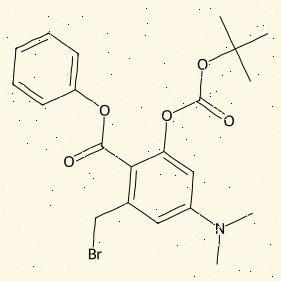 CN(C)c1cc(CBr)c(C(=O)Oc2ccccc2)c(OC(=O)OC(C)(C)C)c1